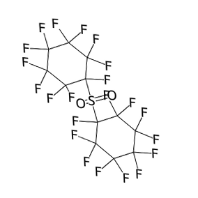 O=S(=O)(C1(F)C(F)(F)C(F)(F)C(F)(F)C(F)(F)C1(F)F)C1(F)C(F)(F)C(F)(F)C(F)(F)C(F)(F)C1(F)F